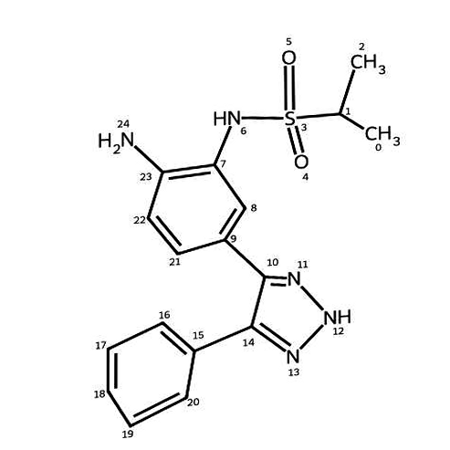 CC(C)S(=O)(=O)Nc1cc(-c2n[nH]nc2-c2ccccc2)ccc1N